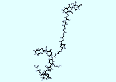 Cc1cc(N(CCCCCn2cc(COCCOCCOCCNC(=O)COc3cccc4c3C(=O)N(C3CCC(=O)NC3=O)C4=O)nn2)c2ccc(-c3cnn(CC45CC6(C)CC(C)(C4)CC(OCCN(C)C)(C6)C5)c3C)c(C(=O)O)n2)nnc1Nc1nc2ccccc2s1